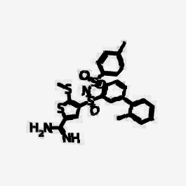 CSc1sc(C(=N)N)cc1S(=O)(=NS(=O)(=O)c1ccc(C)cc1)c1cccc(-c2ccccc2C)c1